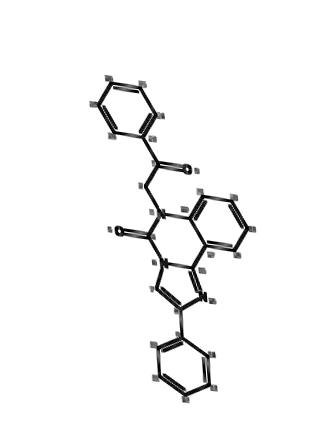 O=C(Cn1c(=O)n2cc(-c3ccccc3)nc2c2ccccc21)c1ccccc1